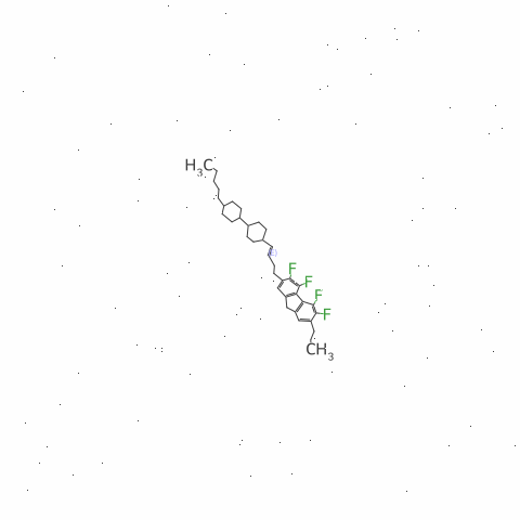 CCCCCC1CCC(C2CCC(/C=C/CCc3cc4c(c(F)c3F)-c3c(cc(CCC)c(F)c3F)C4)CC2)CC1